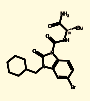 CC(C)(C)[C@H](NC(=O)n1c(=O)n(CC2CCCCC2)c2cc(Br)ccc21)C(N)=O